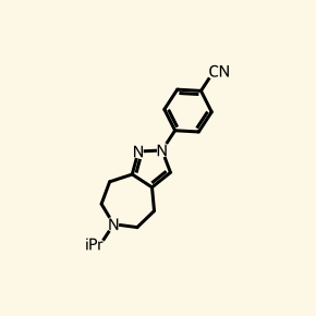 CC(C)N1CCc2cn(-c3ccc(C#N)cc3)nc2CC1